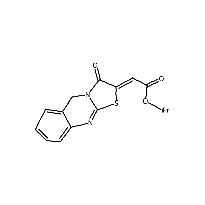 CC(C)OC(=O)C=c1sc2n(c1=O)Cc1ccccc1N=2